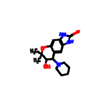 CC1(C)Oc2cc3[nH]c(=O)[nH]c3cc2C(N2CCCCC2)C1O